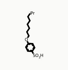 CC(C)CCCCCCOc1ccc(S(=O)(=O)O)cc1